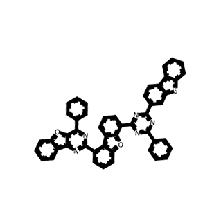 c1ccc(-c2nc(-c3ccc4c(c3)sc3ccccc34)nc(-c3cccc4c3oc3cccc(-c5nc(-c6ccccc6)c6oc7ccccc7c6n5)c34)n2)cc1